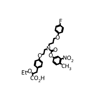 CCOC(Cc1ccc(OCCN(CCCOc2ccc(F)cc2)C(=O)Oc2ccc(C)c([N+](=O)[O-])c2)cc1)C(=O)O